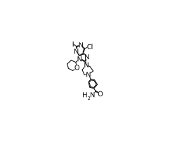 NC(=O)c1ccc(N2CCN(c3nc4c(Cl)nc(I)nc4n3C3CCCCO3)CC2)cc1